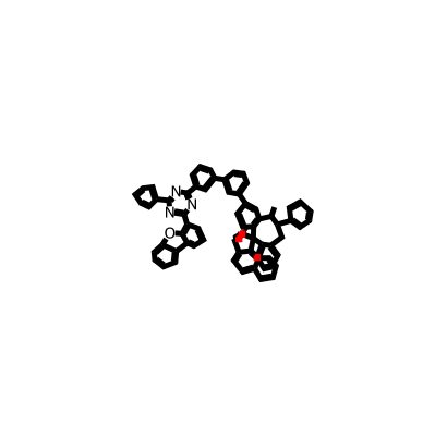 CC1c2cc(-c3cccc(-c4cccc(-c5nc(-c6ccccc6)nc(-c6cccc7c6oc6ccccc67)n5)c4)c3)ccc2C2(c3ccccc3CC1c1ccccc1)c1ccccc1-c1ccc3ccccc3c12